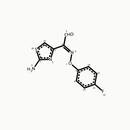 Nc1nc(/C([C]=O)=N\Oc2ccc(F)cc2)cs1